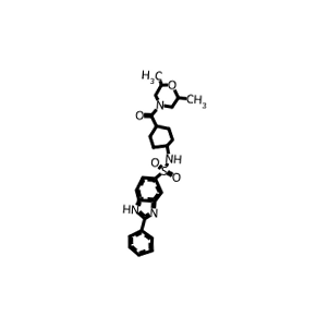 CC1CN(C(=O)C2CCC(NS(=O)(=O)c3ccc4[nH]c(-c5ccccc5)nc4c3)CC2)CC(C)O1